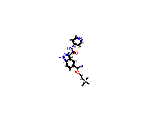 C[Si](C)(C)CCOC(I)c1ccc2[nH]nc(C(=O)Nc3ccncc3)c2c1